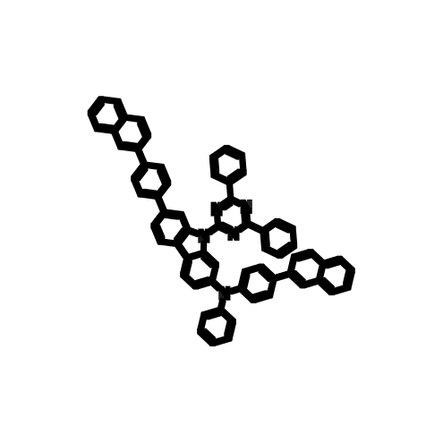 c1ccc(-c2nc(-c3ccccc3)nc(-n3c4cc(-c5ccc(-c6ccc7ccccc7c6)cc5)ccc4c4ccc(N(c5ccccc5)c5ccc(-c6ccc7ccccc7c6)cc5)cc43)n2)cc1